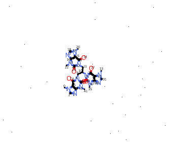 Cn1cnc2c1c(=O)n(CC(Cn1c(=O)c3c(ncn3C)n(C)c1=O)n1c(=O)c3c(ncn3C)n(C)c1=O)c(=O)n2C